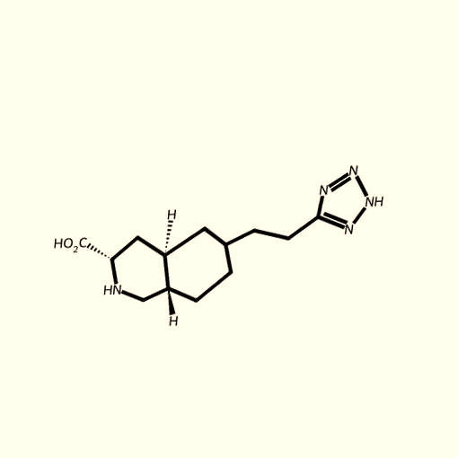 O=C(O)[C@@H]1C[C@H]2CC(CCc3nn[nH]n3)CC[C@@H]2CN1